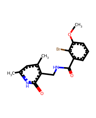 COc1cccc(C(=O)NCc2c(C)cc(C)[nH]c2=O)c1Br